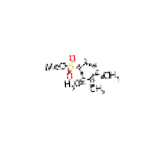 COS(=O)(=O)c1ccc(C)c(C)c1C